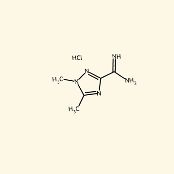 Cc1nc(C(=N)N)nn1C.Cl